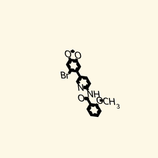 COc1ccccc1C(=O)Nc1ccc(-c2cc3c(cc2Br)OCO3)cn1